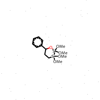 CO[Si]1(OC)CCC(c2ccccc2)O[Si]1(OC)OC